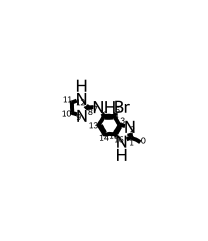 Cc1nc2c(Br)c(NC3=NCCN3)ccc2[nH]1